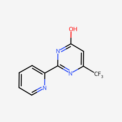 Oc1cc(C(F)(F)F)nc(-c2ccccn2)n1